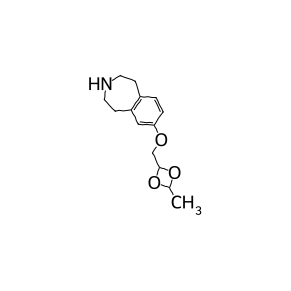 CC1OC(COc2ccc3c(c2)CCNCC3)O1